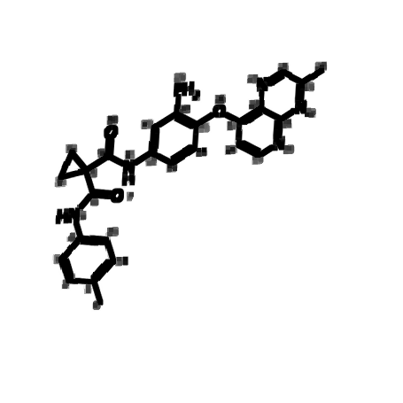 Cc1ccc(NC(=O)C2(C(=O)Nc3ccc(Oc4ccnc5nc(C)cnc45)c(P)c3)CC2)cc1